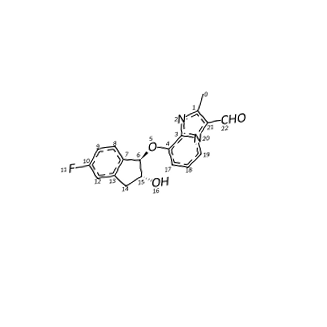 Cc1nc2c(O[C@@H]3c4ccc(F)cc4C[C@H]3O)cccn2c1C=O